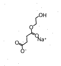 O=C([O-])CCC(=O)OCCO.[Na+]